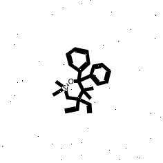 C=CC1(C=C)C[Si](C)(C)OC(c2ccccc2)(c2ccccc2)C1(C)C